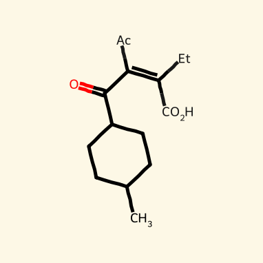 CCC(C(=O)O)=C(C(C)=O)C(=O)C1CCC(C)CC1